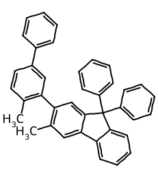 Cc1ccc(-c2ccccc2)cc1-c1cc2c(cc1C)-c1ccccc1C2(c1ccccc1)c1ccccc1